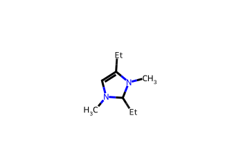 CCC1=CN(C)C(CC)N1C